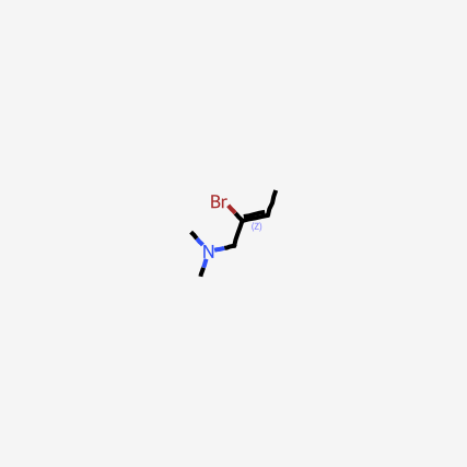 C/C=C(\Br)CN(C)C